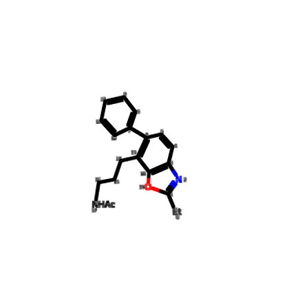 CCc1nc2ccc(-c3ccccc3)c(CCCNC(C)=O)c2o1